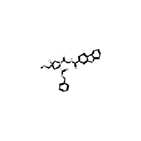 COC[C@@]1(F)C[C@@H](C(=O)OCc2ccccc2)N(C(=O)CNC(=O)c2ccc3c(c2)sc2ccccc23)C1